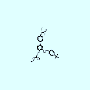 CCOC(=O)COc1ccc(-c2ccc(OC(F)(F)F)cc2)cc1OCc1ccc(C(C)(C)C)cc1